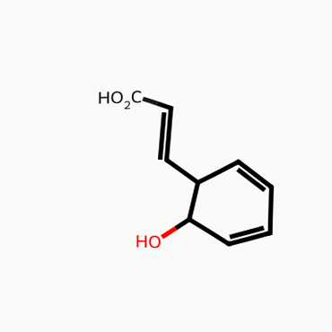 O=C(O)C=CC1C=CC=CC1O